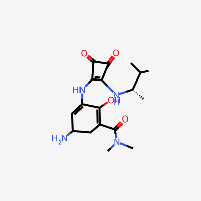 CC(C)[C@H](C)Nc1c(NC2=CC(N)CC(C(=O)N(C)C)=C2O)c(=O)c1=O